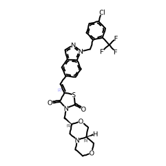 O=C1S/C(=C\c2ccc3c(cnn3Cc3ccc(Cl)cc3C(F)(F)F)c2)C(=O)N1C[C@@H]1CN2CCOC[C@H]2CO1